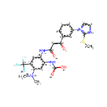 CSc1nccn1-c1cccc(C(=O)CC(=O)Nc2cc(C(F)(F)F)c(N(C)C)cc2NC(=O)O)c1